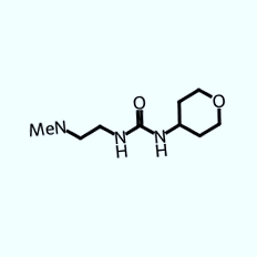 CNCCNC(=O)NC1CCOCC1